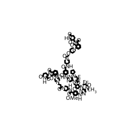 COc1cc(C(=O)NC2CCN(C(=O)CCN3CCN(c4cccc5c4C(=O)N(C4CCC(=O)NC4=O)C5=O)CC3)CC2)c(Cl)cc1Nc1ncc2c(n1)N(C1CCC(CN3C(=O)C(F)(F)CN(C4CCCC4)c4nc(Nc5ccc(C(=O)NC6CCN(C(=O)COC7CCN(c8cccc9c8C(=O)N(C8CCC(=O)NC8=O)C9=O)CC7)CC6)cc5OC)ncc43)C1)CC(F)(F)C(=O)N2C